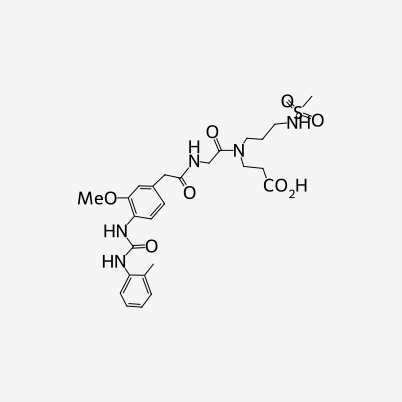 COc1cc(CC(=O)NCC(=O)N(CCCNS(C)(=O)=O)CCC(=O)O)ccc1NC(=O)Nc1ccccc1C